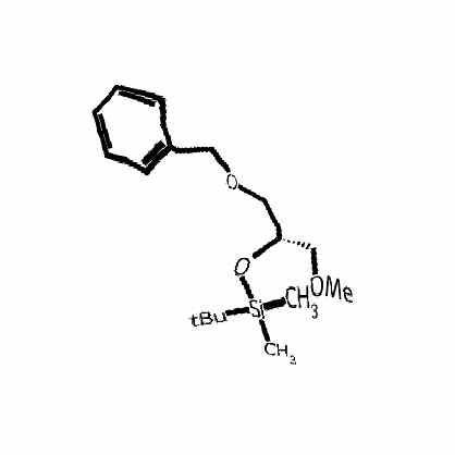 COC[C@@H](COCc1ccccc1)O[Si](C)(C)C(C)(C)C